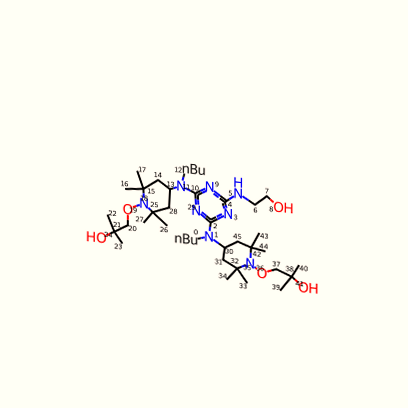 CCCCN(c1nc(NCCO)nc(N(CCCC)C2CC(C)(C)N(OCC(C)(C)O)C(C)(C)C2)n1)C1CC(C)(C)N(OCC(C)(C)O)C(C)(C)C1